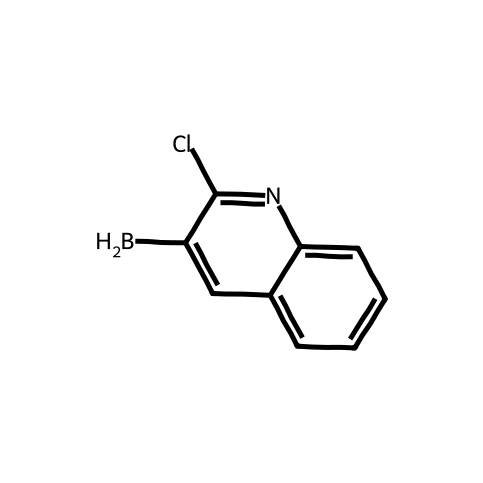 Bc1cc2ccccc2nc1Cl